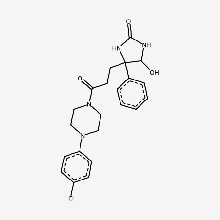 O=C1NC(O)C(CCC(=O)N2CCN(c3ccc(Cl)cc3)CC2)(c2ccccc2)N1